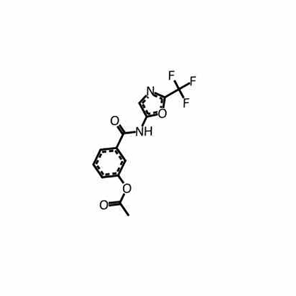 CC(=O)Oc1cccc(C(=O)Nc2cnc(C(F)(F)F)o2)c1